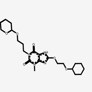 Cn1c(=O)n(CCCOC2CCCCO2)c(=O)c2[nH]c(OCCOC3CCCCC3)nc21